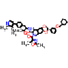 COC(=O)C(Cc1ccc(-c2ccnc(C)c2C)cc1)NC(=O)[C@@H]1Cc2cc3c(cc2CN1C(=O)c1nc(C)oc1C)O[C@@H](c1cccc(OCC2CCCCC2)c1)CO3